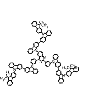 CC1(C)c2ccccc2-c2ccc(-n3c4ccccc4c4ccc(-c5ccc6c7ccccc7n(-c7cccc(-c8nc(-c9cccc(-n%10c%11ccccc%11c%11ccc(-c%12ccc%13c%14ccccc%14n(-c%14ccc%15c(c%14)C(C)(C)c%14ccccc%14-%15)c%13c%12)cc%11%10)c9)c9cc(-n%10c%11ccccc%11c%11ccc(-c%12ccc%13c%14ccccc%14n(-c%14ccc%15c(c%14)C(C)(C)c%14ccccc%14-%15)c%13c%12)cc%11%10)ccc9n8)c7)c6c5)cc43)cc21